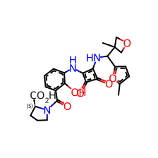 Cc1ccc(C(Nc2c(Nc3cccc(C(=O)N4CCC[C@H]4C(=O)O)c3O)c(=O)c2=O)C2(C)COC2)o1